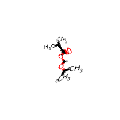 CC(C)OCOC(=O)C(C)C